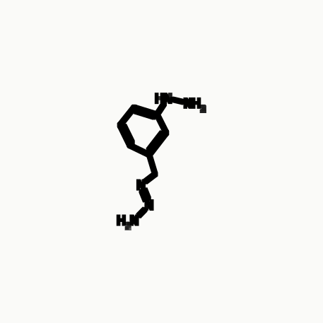 NN=NCc1cccc(NN)c1